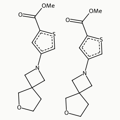 COC(=O)c1cc(N2CC3(CCOC3)C2)cs1.COC(=O)c1cc(N2CC3(CCOC3)C2)cs1